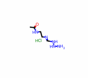 CC(=O)NCCN=CNNN.Cl